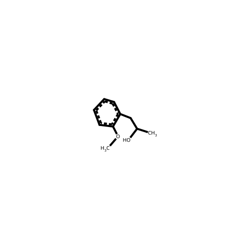 COc1ccccc1CC(C)O